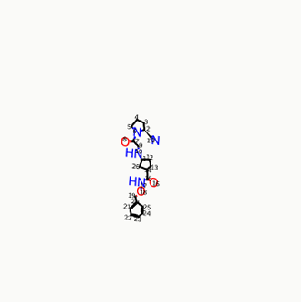 N#C[C@@H]1CCCN1C(=O)CNC1CCC(C(=O)NOCc2ccccc2)C1